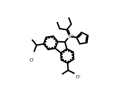 CC[C](CC)=[Ti+2]([C]1=CC=CC1)[CH]1c2ccc(C(C)C)cc2-c2cc(C(C)C)ccc21.[Cl-].[Cl-]